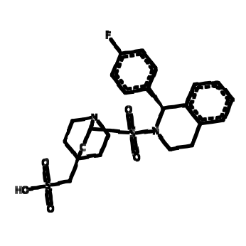 O=S(=O)(O)CC12CCN(CC1)C(S(=O)(=O)N1CCc3ccccc3[C@@H]1c1ccc(F)cc1)C2